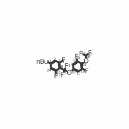 CCCCc1cc(F)c(C(F)(F)Oc2cc(F)c(OC(F)F)c(F)c2)c(F)c1